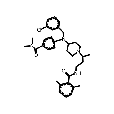 Cc1cccc(C)c1C(=O)NCCC(C)N1CCC(N(Cc2cccc(Cl)c2)c2ccc(C(=O)N(C)C)cc2)CC1